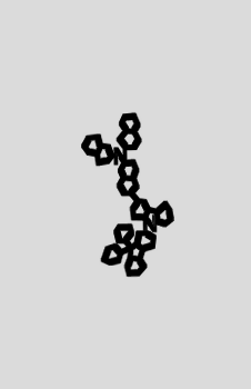 c1ccc(C2(c3ccccc3)c3ccccc3-c3ccc(-n4c5ccccc5c5cc(-c6ccc7cc(N(c8ccc9ccccc9c8)c8ccc9ccccc9c8)ccc7c6)ccc54)cc32)cc1